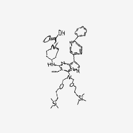 C=Cc1c(NC2CCN(C(=O)O)CC2)nc2c(-c3ccc(-c4ccccc4)nc3)cnn2c1N(COCC[Si](C)(C)C)COCC[Si](C)(C)C